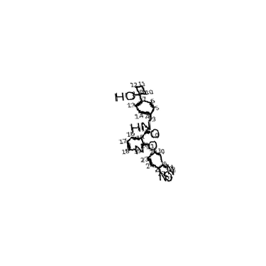 O=C(NCc1ccc(C2(O)CCC2)cc1)c1cccnc1Oc1ccc2nonc2c1